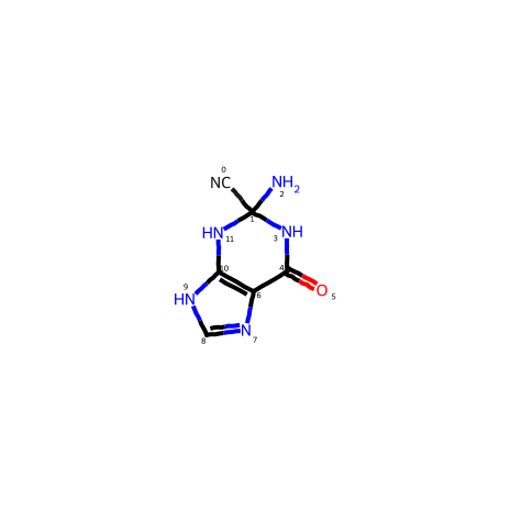 N#CC1(N)NC(=O)c2nc[nH]c2N1